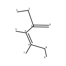 C=C(CC)C(C)=C(C)CC